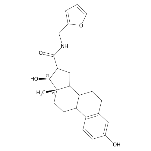 C[C@]12CCC3c4ccc(O)cc4CCC3C1CC(C(=O)NCc1ccco1)[C@@H]2O